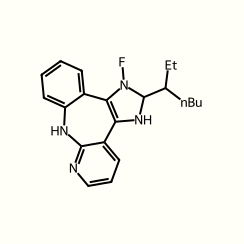 CCCCC(CC)C1NC2=C(c3ccccc3Nc3ncccc32)N1F